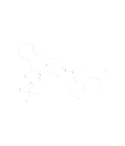 O=C(c1ccccc1OC(F)F)N1CCC2(CC1)Oc1ccccc1-c1nn(C(F)(F)F)cc12